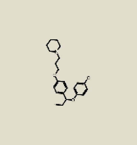 [CH2]CC(Oc1ccc(Cl)cc1)c1ccc(OCCCN2CCCCC2)cc1